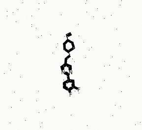 C=C[C@H]1CC[C@H](CCc2cnc(-c3ccc(F)c(F)c3)nc2)CC1